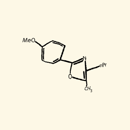 CCCc1nc(-c2ccc(OC)cc2)oc1C